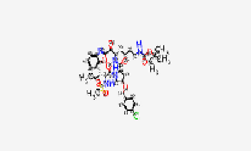 C=CC[C@@H](NS(C)(=O)=O)C(=O)N1C[C@H](OCc2ccc(Cl)cc2)C[C@H]1C(=O)N[C@@H](CCCCNC(=O)OC(C)(C)C)C(=O)c1nc2ccccc2o1